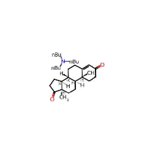 CCCCN(CCCC)CCCC.C[C@]12CCC(=O)C=C1CC[C@@H]1[C@@H]2CC[C@]2(C)C(=O)CC[C@@H]12